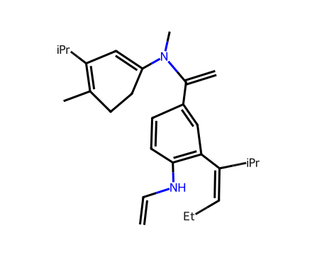 C=CNc1ccc(C(=C)N(C)C2=CC(C(C)C)=C(C)CC2)cc1/C(=C\CC)C(C)C